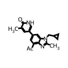 CC(=O)c1cc(-c2c[nH]c(=O)c(C)c2)cc2c1nc(C)n2CC1CC1